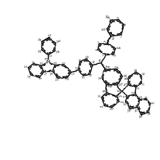 c1ccc(-c2ccc(C(c3ccc(-c4ccc5c6ccccc6n(-c6ccccc6)c5c4)cc3)c3ccc4c(c3)-c3ccccc3C43c4ccccc4-c4c3ccc3ccccc43)cc2)cc1